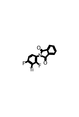 O=C1c2ccccc2C(=O)N1c1ccc(F)[c]([Ti])c1F